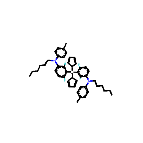 CCCCCCN(c1ccc(C)cc1)c1ccc(F)[c]([Ti]([c]2c(F)ccc(N(CCCCCC)c3ccc(C)cc3)c2F)([CH]2C=CC=C2)[CH]2C=CC=C2)c1F